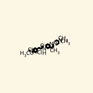 Cc1cc(N2CCC(N(C)C)CC2)nc2ccc(NC(=O)C=Cc3ccc(OC(C)C)cc3Cl)cc12